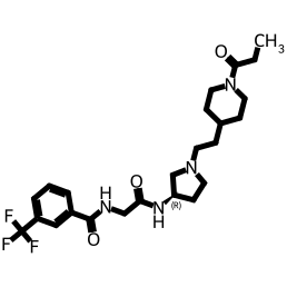 CCC(=O)N1CCC(CCN2CC[C@@H](NC(=O)CNC(=O)c3cccc(C(F)(F)F)c3)C2)CC1